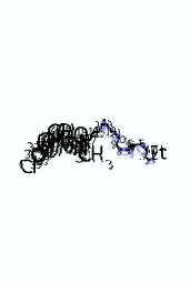 CC/C=C\C/C=C\C/C=C\C/C=C\C/C=C\CCCC(=O)N(C)CCNC(=O)C(C)(C)Oc1ccc(Cl)cc1